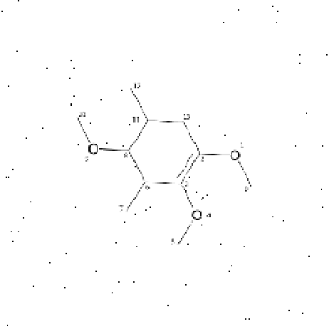 COC1=C(OC)C(C)C(OC)C(C)C1